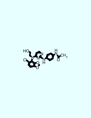 CC(=O)Nc1ccc(Nc2nccc(N(CCO)c3c(Cl)ccc4c3OCO4)n2)cc1